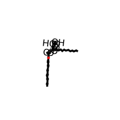 CC#CC#CC#CC#CC#CC#CC#CC(=O)OC[C@H](COP(=O)(O)O)OC(=O)CCCCCCCCCCC